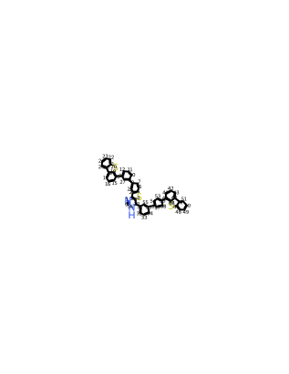 C1=Nc2c(sc3ccc(-c4cccc(-c5cccc6c5sc5ccccc56)c4)cc23)C(c2cccc(-c3ccc(-c4cccc5c4sc4ccccc45)cc3)c2)N1